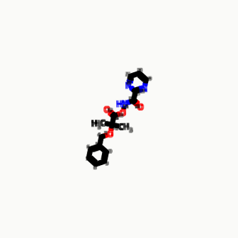 CC(C)(OCc1ccccc1)C(=O)ONC(=O)c1ncccn1